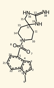 Cn1ccc2c(S(=O)(=O)N3CCC4(CC3)CNC(=N)N4)cccc21